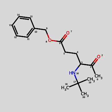 CC(=O)C(CCC(=O)OCc1ccccc1)NC(C)(C)C